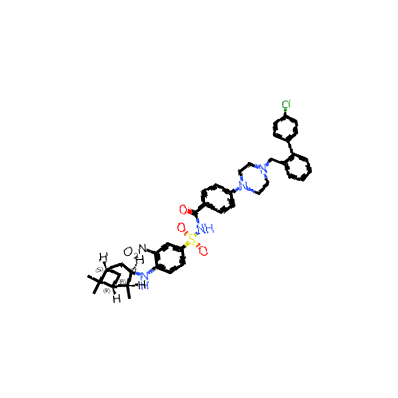 C[C@@H]1[C@H]2C[C@@H](C[C@H]1Nc1ccc(S(=O)(=O)NC(=O)c3ccc(N4CCN(Cc5ccccc5-c5ccc(Cl)cc5)CC4)cc3)cc1[N+](=O)[O-])C2(C)C